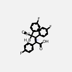 BC([N+]#[C-])(/C(=C(/C(=O)O)c1ccc(F)cc1)c1ccc(F)cc1)c1ccc(F)cc1